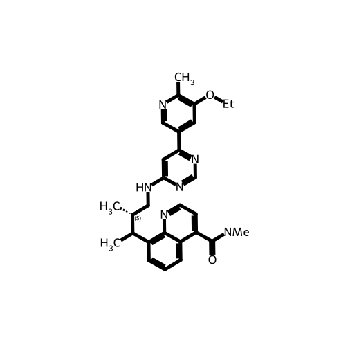 CCOc1cc(-c2cc(NC[C@@H](C)C(C)c3cccc4c(C(=O)NC)ccnc34)ncn2)cnc1C